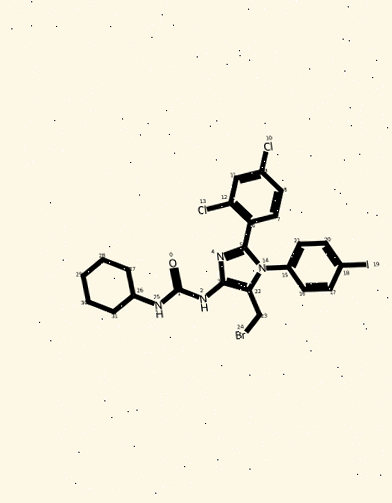 O=C(Nc1nc(-c2ccc(Cl)cc2Cl)n(-c2ccc(I)cc2)c1CBr)NC1CCCCC1